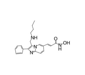 CCCCNCc1c(-c2ccccc2)nc2ccc(C=CC(=O)NO)cn12